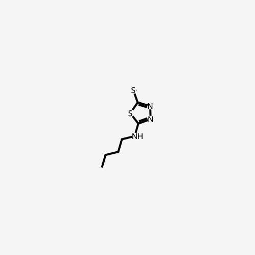 CCCCNc1nnc([S])s1